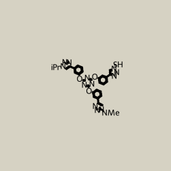 CNn1cc(-c2cccc(Oc3nc(Oc4cccc(-c5cn(S)nn5)c4)nc(Oc4cccc(-c5cn(C(C)C)nn5)c4)n3)c2)nn1